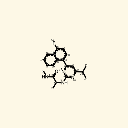 CNC(=O)C(C)Nc1nc(-c2ccc(F)c3ccccc23)cc(C(C)C)n1